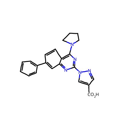 O=C(O)c1cnn(-c2nc(N3CCCC3)c3ccc(-c4ccccc4)cc3n2)c1